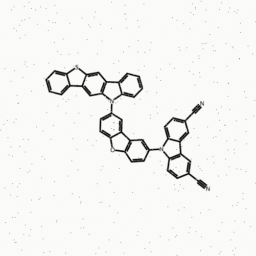 N#Cc1ccc2c(c1)c1cc(C#N)ccc1n2-c1ccc2oc3ccc(-n4c5ccccc5c5cc6sc7ccccc7c6cc54)cc3c2c1